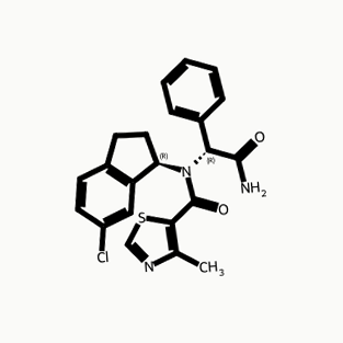 Cc1ncsc1C(=O)N([C@@H]1CCc2ccc(Cl)cc21)[C@@H](C(N)=O)c1ccccc1